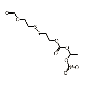 CC(OC(=O)OCCSSCCOC=O)O[N+](=O)[O-]